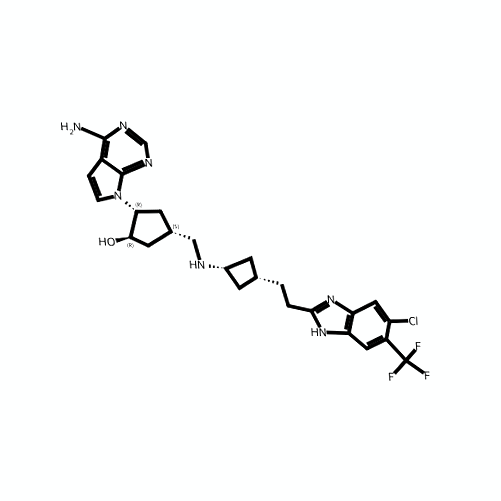 Nc1ncnc2c1ccn2[C@@H]1C[C@H](CN[C@H]2C[C@@H](CCc3nc4cc(Cl)c(C(F)(F)F)cc4[nH]3)C2)C[C@H]1O